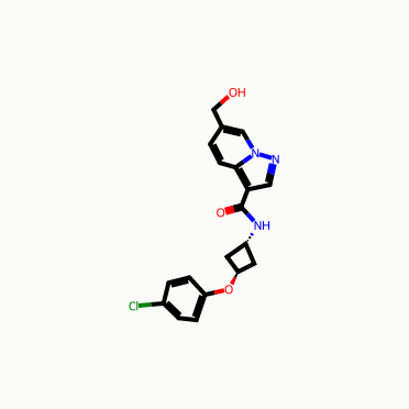 O=C(N[C@H]1C[C@H](Oc2ccc(Cl)cc2)C1)c1cnn2cc(CO)ccc12